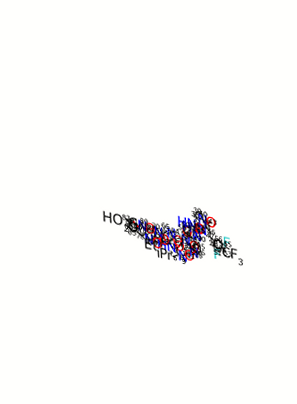 CC[C@H](C)C(NC(=O)[C@H](CC(C)C)N(C)C(=O)C[C@@H](C(=O)N(C)C)N(C)C(=O)C(C1CCCC1)N(C)C(=O)C1(NC(=O)[C@@H]2CCCN2C(=O)[C@@H](N)CCc2cc(F)c(C(F)(F)F)c(F)c2)CCCC1)C(=O)N(C)[C@@H](C)C(=O)N1CC[C@H]1C(=O)N(CC)[C@@H](Cc1ccc(C)cc1)C(=O)N(C)CC(=O)O